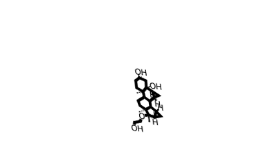 C[C@]12CCC3C(C1[C@@H]1C[C@@H]1[C@]2(C)OCCO)[C@H]1C[C@H]1[C@]1(O)C[C@@H](O)CC[C@]31C